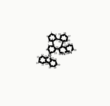 c1ccc2c(c1)-c1ccc(-n3c4ccccc4c4ccccc43)cc1-c1cnc3ncccc3c1-c1ccccc1-2